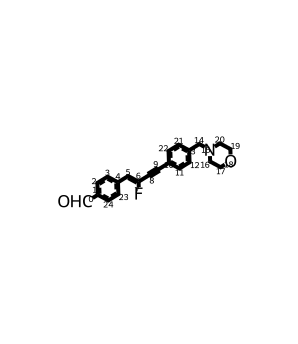 O=Cc1ccc(C=C(F)C#Cc2ccc(CN3CCOCC3)cc2)cc1